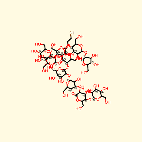 OCC1O[C@@H](OCC2O[C@H](OCCCS)C(O)[C@@H](O[C@@H]3OC(CO)[C@@H](O)[C@H](O)C3O)[C@@H]2O[C@@H]2OC(CO)[C@@H](O)[C@H](O)C2O[C@H]2OC(CO)[C@@H](O[C@@H]3OC(CO)[C@H](O[C@H]4OC(CO)[C@H](O)[C@H](O)C4O)[C@H](O)C3O)[C@H](O)C2O)[C@@H](OC2OC(CO)[C@@H](O[C@@H]3OC(CO)[C@H](O[C@H]4OC(CO)[C@H](O)[C@H](O)C4O)[C@H](O)C3O)[C@H](O)C2O)C(O)[C@@H]1O